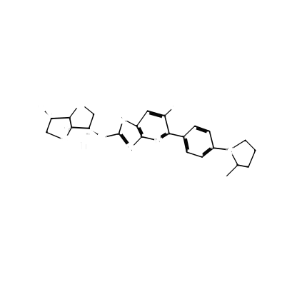 CC1CCCN1c1ccc(-c2nc3nc(O[C@@H]4COC5[C@H](O)CO[C@@H]54)[nH]c3cc2Cl)cc1